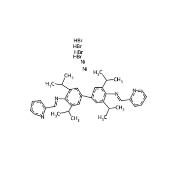 Br.Br.Br.Br.CC(C)c1cc(-c2cc(C(C)C)c(N=Cc3ccccn3)c(C(C)C)c2)cc(C(C)C)c1N=Cc1ccccn1.[Ni].[Ni]